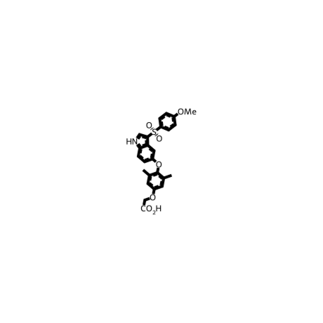 COc1ccc(S(=O)(=O)c2c[nH]c3ccc(Oc4c(C)cc(OCC(=O)O)cc4C)cc23)cc1